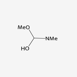 CNC(O)OC